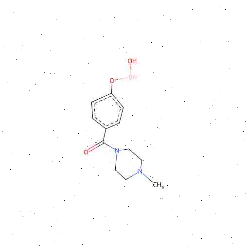 CN1CCN(C(=O)c2ccc(OBO)cc2)CC1